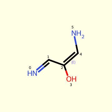 N=C/C(O)=C\N